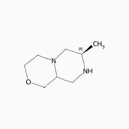 C[C@@H]1CN2CCOCC2CN1